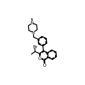 CC(Br)c1oc(=O)c2ccccc2c1-c1cccc(CN2CCN(C)CC2)c1